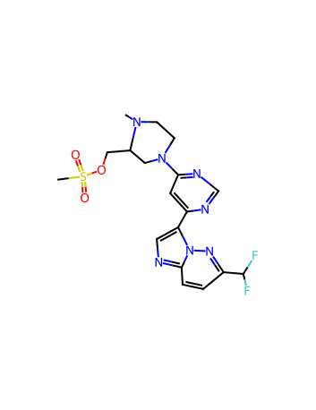 CN1CCN(c2cc(-c3cnc4ccc(C(F)F)nn34)ncn2)CC1COS(C)(=O)=O